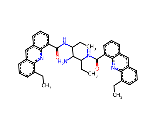 CCc1cccc2cc3cccc(C(=O)NC(CC)C(N)C(CC)NC(=O)c4cccc5cc6cccc(CC)c6nc45)c3nc12